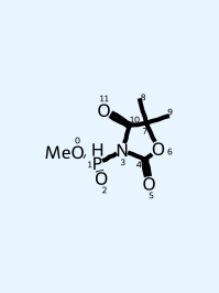 CO[PH](=O)N1C(=O)OC(C)(C)C1=O